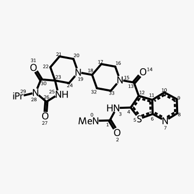 CNC(=O)Nc1sc2ncccc2c1C(=O)N1CCC(N2CCCC3(C2)NC(=O)N(C(C)C)C3=O)CC1